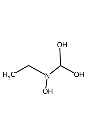 CCN(O)C(O)O